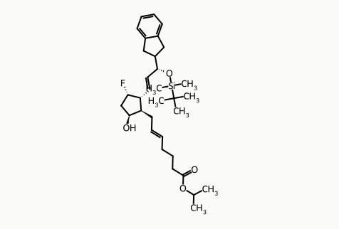 CC(C)OC(=O)CCCC=CC[C@@H]1[C@@H](C=C[C@@H](O[Si](C)(C)C(C)(C)C)C2Cc3ccccc3C2)[C@@H](F)C[C@@H]1O